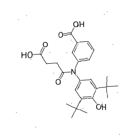 CC(C)(C)c1cc(N(C(=O)CCC(=O)O)c2cccc(C(=O)O)c2)cc(C(C)(C)C)c1O